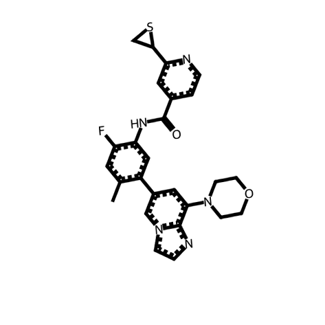 Cc1cc(F)c(NC(=O)c2ccnc(C3CS3)c2)cc1-c1cc(N2CCOCC2)c2nccn2c1